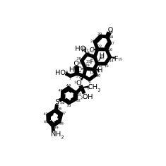 C[C@](O)(O[C@]1(C(=O)CO)CC[C@H]2[C@@H]3C[C@H](F)C4=CC(=O)C=C[C@]4(C)[C@@]3(F)[C@@H](O)C[C@@]21C)c1ccc(Sc2ccc(N)cc2)cc1